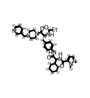 CCC(=O)N[C@H](Cc1ccc(NC(=O)[C@@H](NC(=O)c2ccnn2C)C2CCCCC2)cc1)C(=O)N1CCN(Cc2cccnc2)CC1